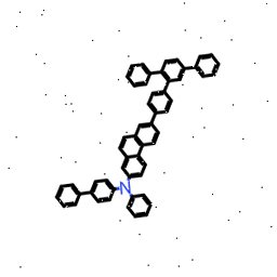 c1ccc(-c2ccc(N(c3ccccc3)c3ccc4c(ccc5cc(-c6ccc(-c7cc(-c8ccccc8)ccc7-c7ccccc7)cc6)ccc54)c3)cc2)cc1